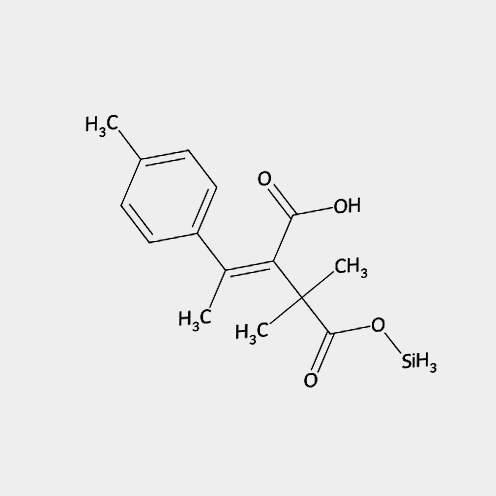 CC(=C(C(=O)O)C(C)(C)C(=O)O[SiH3])c1ccc(C)cc1